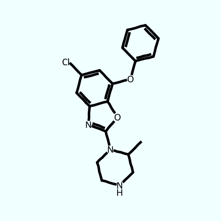 CC1CNCCN1c1nc2cc(Cl)cc(Oc3ccccc3)c2o1